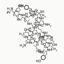 CC[C@H](C)[C@H](NC(=O)[C@@H]1C[C@@H](O)CN1C(=O)[C@@H](N)C(C)C)C(=O)N[C@@H](CCN)C(=O)N[C@@H](Cc1ccc(O)cc1)C(=O)N[C@H](C(=O)N[C@@H](CC(N)=O)C(=O)N[C@@H](CCCNC(=N)N)C(=O)N[C@@H](CCN)C(=O)N[C@H](C(=O)N[C@H](CCN)C(=O)N[C@@H](CCCCN)C(=O)N[C@@H](CS)C(=O)N[C@@H](CCN)C(=O)N[C@H](C(=O)N[C@@H](Cc1ccc(O)cc1)C(=O)O)[C@@H](C)O)[C@@H](C)O)C(C)(C)S